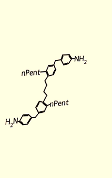 CCCCCc1cc(Cc2ccc(N)cc2)ccc1CCCCc1ccc(Cc2ccc(N)cc2)cc1CCCCC